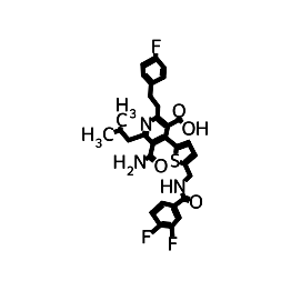 CC(C)Cc1nc(CCc2ccc(F)cc2)c(C(=O)O)c(-c2ccc(CNC(=O)c3ccc(F)c(F)c3)s2)c1C(N)=O